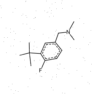 CN(C)Cc1ccc(F)c(C(C)(C)C)c1